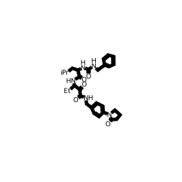 CCC(NC(=O)C(CC(C)C)NC(=O)NCc1ccccc1)C(=O)C(=O)NCc1ccc(N2CCCC2=O)cc1